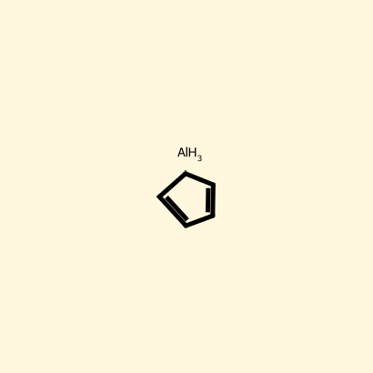 [AlH3].[CH]1C=CC=C1